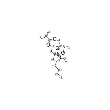 C=C(C)C(=O)OCCC(CCCCCC)[Si](OCC)(OCC)OCC